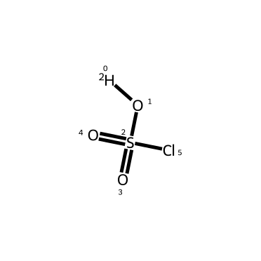 [2H]OS(=O)(=O)Cl